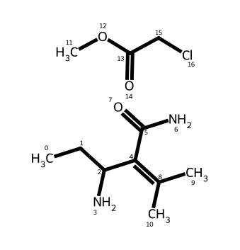 CCC(N)C(C(N)=O)=C(C)C.COC(=O)CCl